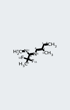 C=C/C(C)=C/N=C(\N=C)C(C)(F)F